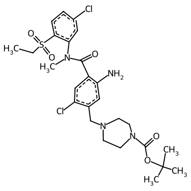 CCS(=O)(=O)c1ccc(Cl)cc1N(C)C(=O)c1cc(Cl)c(CN2CCN(C(=O)OC(C)(C)C)CC2)cc1N